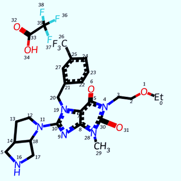 CCOCCn1c(=O)c2c(nc(N3CCC4CNCC43)n2Cc2cccc(C(F)(F)F)c2)n(C)c1=O.O=C(O)C(F)(F)F